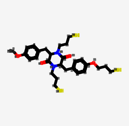 CCCCOc1ccc(CC2C(=O)N(CCCS)C(Cc3ccc(OCCCS)cc3)C(=O)N2CCCS)cc1